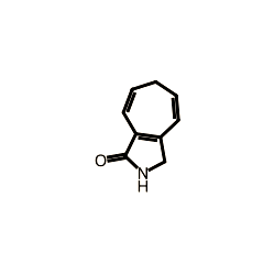 O=C1NCC2=C1C=CCC=C2